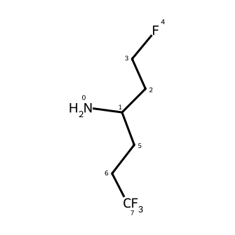 NC(CCF)CCC(F)(F)F